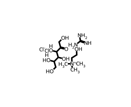 C[N+](C)(C)CCO.Cl.N=C(N)N.O=C(CO)C(O)C(O)C(O)CO.[Cl-]